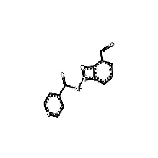 O=Cc1cccc2c1on2NC(=O)c1ccncc1